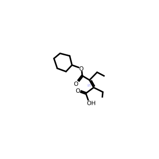 CC/C(C(=O)O)=C(\CC)C(=O)OC1CCCCC1